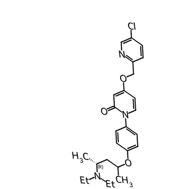 CCN(CC)[C@H](C)CC(C)Oc1ccc(-n2ccc(OCc3ccc(Cl)cn3)cc2=O)cc1